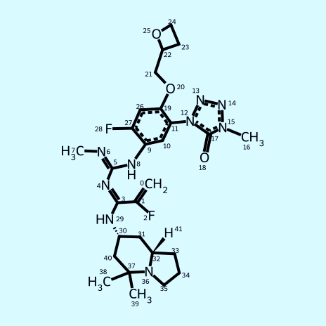 C=C(F)/C(=N\C(=N/C)Nc1cc(-n2nnn(C)c2=O)c(OCC2CCO2)cc1F)N[C@@H]1C[C@@H]2CCCN2C(C)(C)C1